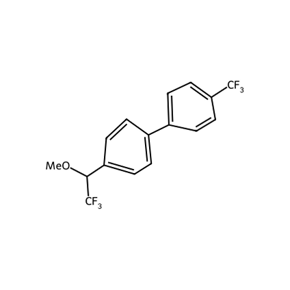 COC(c1ccc(-c2ccc(C(F)(F)F)cc2)cc1)C(F)(F)F